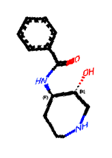 O=C(N[C@@H]1CCNC[C@H]1O)c1ccccc1